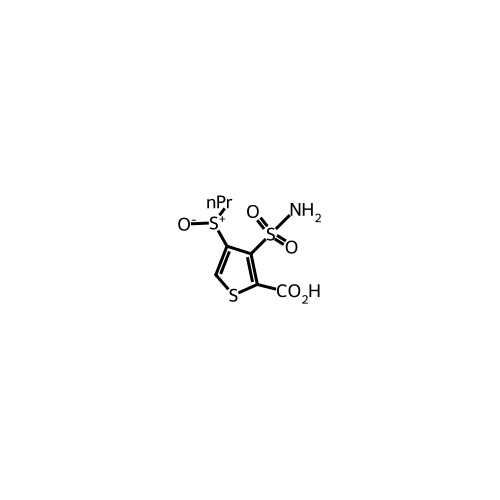 CCC[S+]([O-])c1csc(C(=O)O)c1S(N)(=O)=O